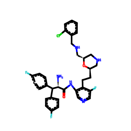 N[C@H](C(=O)Nc1cncc(F)c1CC[C@@H]1CNC[C@@H](CNCc2ccccc2Cl)O1)C(c1ccc(F)cc1)c1ccc(F)cc1